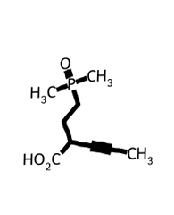 CC#CC(CCP(C)(C)=O)C(=O)O